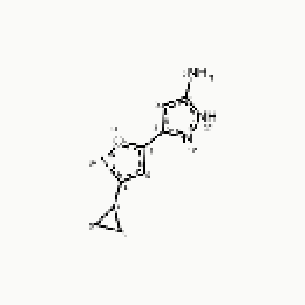 Nc1cc(-c2cc(C3CC3)no2)n[nH]1